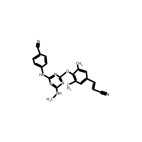 CNc1nc(Nc2ccc(C#N)cc2)nc(Oc2c(C)cc(C=CC#N)cc2C)n1